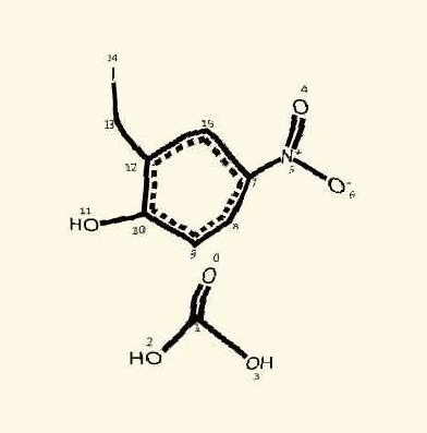 O=C(O)O.O=[N+]([O-])c1ccc(O)c(CI)c1